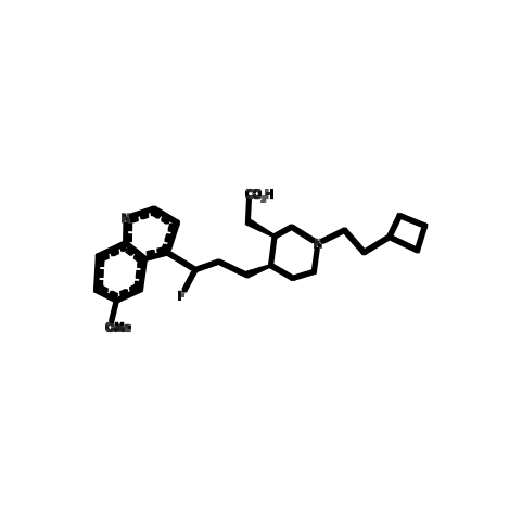 COc1ccc2nccc(C(F)CC[C@@H]3CCN(CCC4CCC4)C[C@@H]3CC(=O)O)c2c1